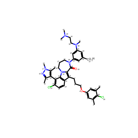 Cc1cc(OCCCc2c3n(c4c(-c5c(C)nn(C)c5C)c(Cl)ccc24)CCCN(c2cc(C(=O)O)cc(N(C)CCN(C)C)c2)C3=O)cc(C)c1Cl